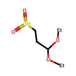 CCOC(CC[SH](=O)=O)OCC